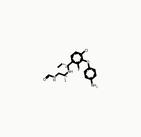 CC[C@@H](N[C@H](C)CNC=O)c1ccc(Cl)c(Oc2ccc(N)cc2)c1F